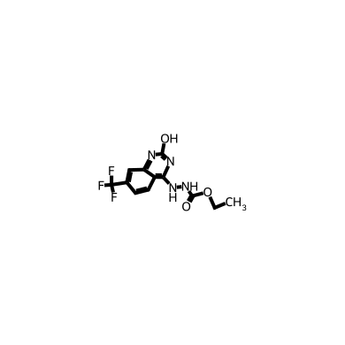 CCOC(=O)NNc1nc(O)nc2cc(C(F)(F)F)ccc12